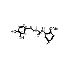 COc1ccc(C)cc1NC(=O)NCCc1ccc(O)c(O)c1